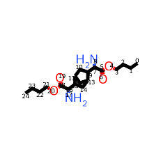 CCCCOC(=O)C(N)C1CC2CC1CC2C(N)C(=O)OCCCC